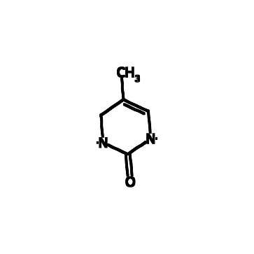 CC1=C[N]C(=O)[N]C1